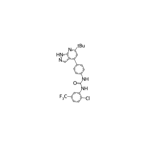 CC(C)(C)c1cc(-c2ccc(NC(=O)Nc3cc(C(F)(F)F)ccc3Cl)cc2)c2cn[nH]c2n1